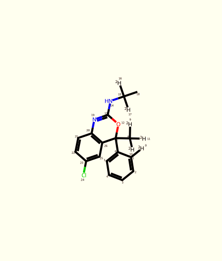 [2H]c1ccccc1C1(C([2H])([2H])[2H])OC(NC([2H])([2H])C)=Nc2ccc(Cl)cc21